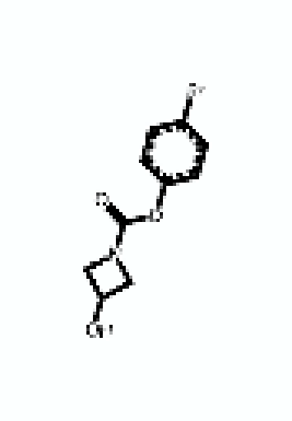 O=C(Oc1ccc(Br)cc1)N1CC(O)C1